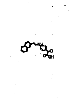 O=C(O)C(=O)c1ccc(NCCc2ccc3ccccc3c2)cc1